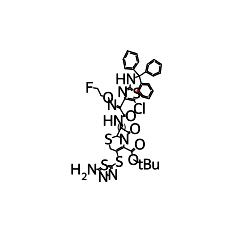 CC(C)(C)OC(=O)C1=C(Sc2nnc(N)s2)CSC2[C@H](NC(=O)C(=NOCCF)c3nc(NC(c4ccccc4)(c4ccccc4)c4ccccc4)sc3Cl)C(=O)N12